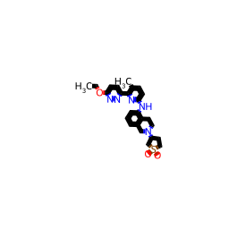 CCOc1ccc(-c2nc(Nc3cccc4c3CCN(C3CCS(=O)(=O)C3)C4)ccc2C)nn1